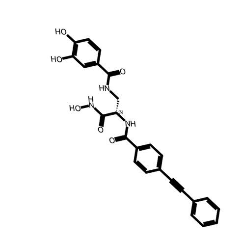 O=C(NC[C@H](NC(=O)c1ccc(C#Cc2ccccc2)cc1)C(=O)NO)c1ccc(O)c(O)c1